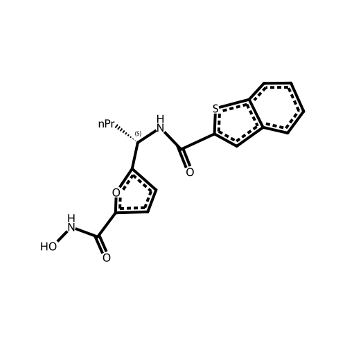 CCC[C@H](NC(=O)c1cc2ccccc2s1)c1ccc(C(=O)NO)o1